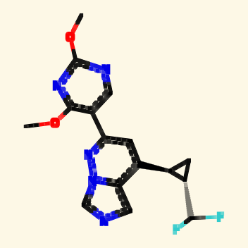 COc1ncc(-c2cc([C@H]3C[C@@H]3C(F)F)c3cncn3n2)c(OC)n1